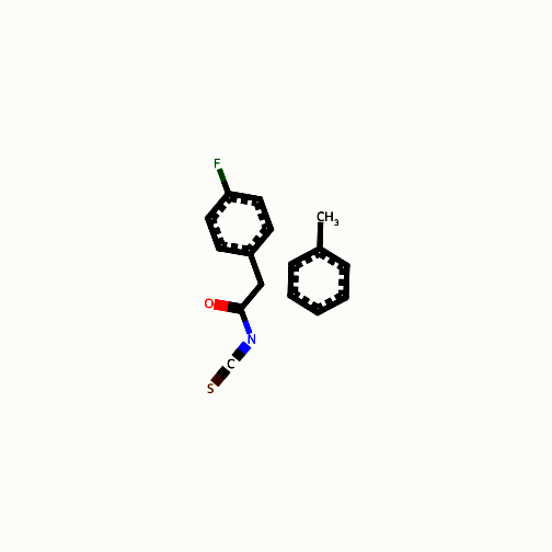 Cc1ccccc1.O=C(Cc1ccc(F)cc1)N=C=S